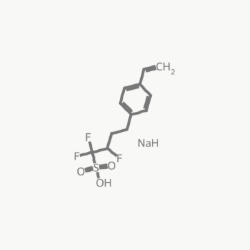 C=Cc1ccc(CCC(F)C(F)(F)S(=O)(=O)O)cc1.[NaH]